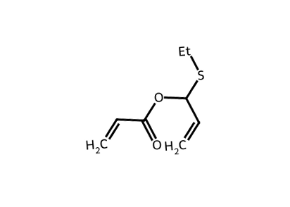 C=CC(=O)OC(C=C)SCC